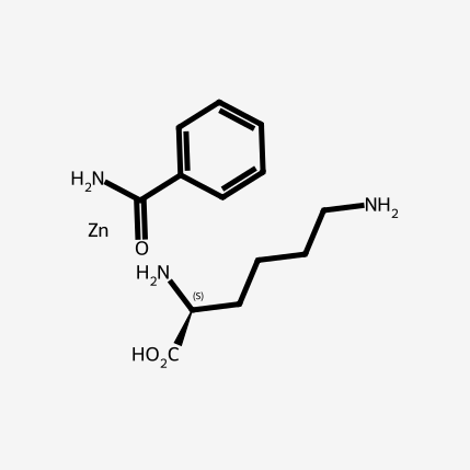 NC(=O)c1ccccc1.NCCCC[C@H](N)C(=O)O.[Zn]